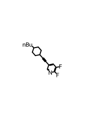 CCCCC1CCC(C#Cc2cnc(F)c(F)c2)CC1